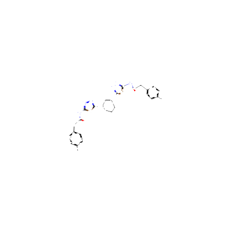 CCc1ccc(CC(=O)Nc2nnc([C@@H]3CCC[C@@H](c4nnc(NC(=O)Cc5ccc(CC)cc5)s4)C3)s2)cc1